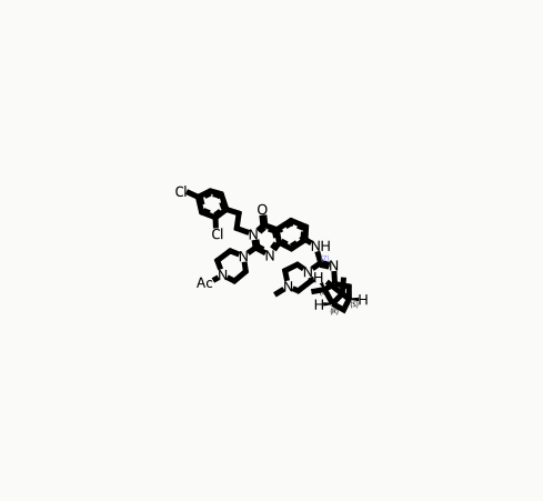 CC(=O)N1CCN(c2nc3cc(N/C(=N/C4C[C@@H]5C[C@H]([C@@H]4C)C5(C)C)N4CCN(C)CC4)ccc3c(=O)n2CCc2ccc(Cl)cc2Cl)CC1